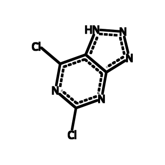 Clc1nc(Cl)c2[nH]nnc2n1